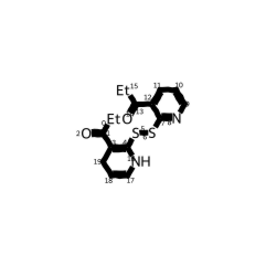 CCC(=O)C1=C(SSc2ncccc2C(=O)CC)NC=CC1